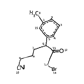 Cc1cccc(C(CCCC#N)C(=O)CBr)c1